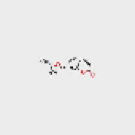 CCCCC(CCC)OCc1ccc2ccc(=O)oc2c1